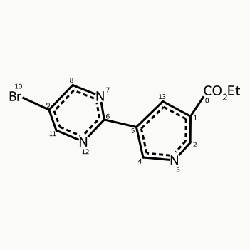 CCOC(=O)c1cncc(-c2ncc(Br)cn2)c1